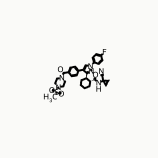 CS(=O)(=O)N1CCN(C(=O)c2ccc(-c3cn(-c4ccc(F)cc4)nc3[C@@H]3CCCC[C@H]3C(=O)NC3(C#N)CC3)cc2)CC1